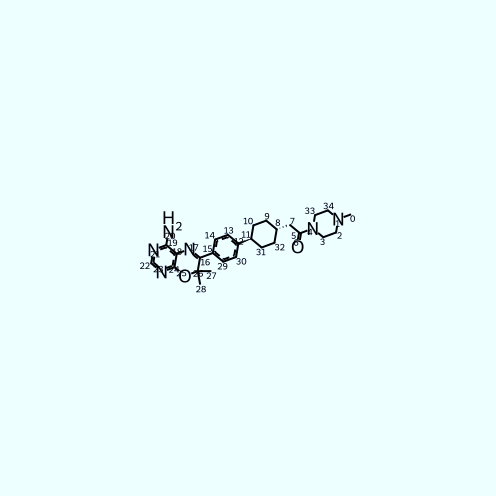 CN1CCN(C(=O)C[C@H]2CC[C@H](c3ccc(C4=Nc5c(N)ncnc5OC4(C)C)cc3)CC2)CC1